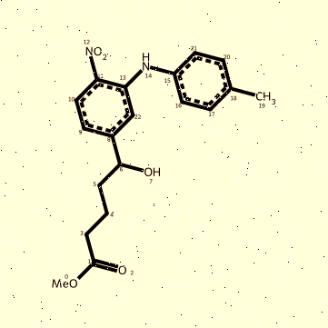 COC(=O)CCCC(O)c1ccc([N+](=O)[O-])c(Nc2ccc(C)cc2)c1